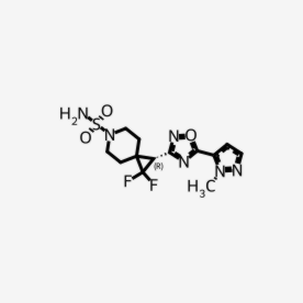 Cn1nccc1-c1nc([C@@H]2C(F)(F)C23CCN(S(N)(=O)=O)CC3)no1